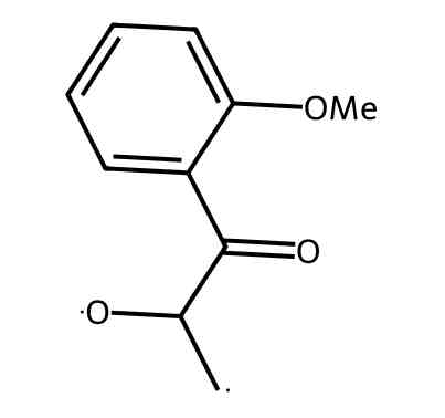 [CH2]C([O])C(=O)c1ccccc1OC